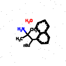 CCCCC(c1cccc2ccccc12)C(C)(C)N.O